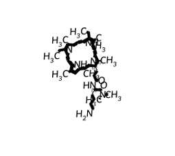 CCC1=C(C)c2cc3[nH]c(cc4nc(c(C)c5cc(C)c(cc1n2)[nH]5)[C@@H](CCC(=O)N[C@@H](CCCCN)C(=O)N(C)C)[C@@H]4C)c(C)c3CC